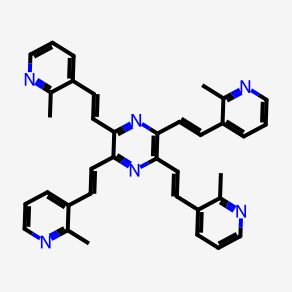 Cc1ncccc1C=Cc1nc(C=Cc2cccnc2C)c(C=Cc2cccnc2C)nc1C=Cc1cccnc1C